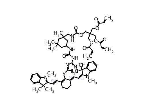 C=CC(=O)OCC(COC(=O)C=C)(COC(=O)C=C)COC(=O)NCC1(C)CC(NC(=O)Nc2n[nH]c(SC3=C(/C=C/C4=[N+](C)c5ccccc5C4(C)C)CCC/C3=C\C=C3\N(C)c4ccccc4C3(C)C)n2)CC(C)(C)C1